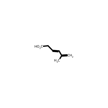 C=C(C)C=CCC(=O)O